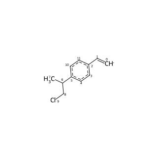 [CH]=Cc1ccc(C(C)CCl)cc1